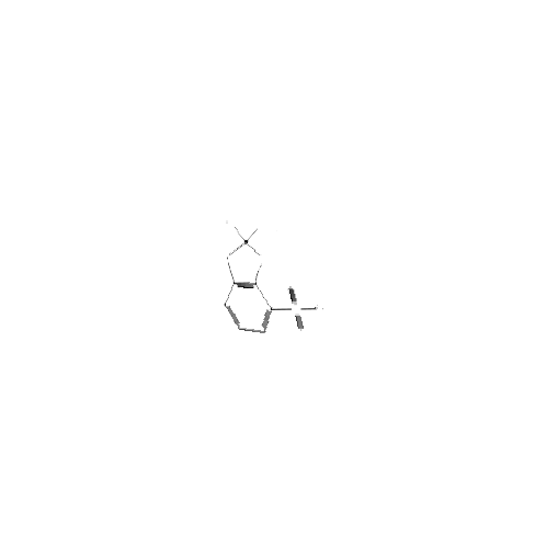 CC(C)(C)C1(C)Cc2cccc(S(N)(=O)=O)c2S1